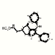 O=C(O)NCC1CC(=O)c2c([nH]c(-c3ccncc3)c2Nc2ccccc2)C1